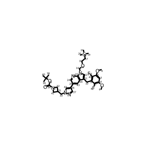 COc1cc(OC)c(F)c(Cc2cn(COCC[Si](C)(C)C)c3ncc(-c4cnn(CC5CN(C(=O)OC(C)(C)C)C5)c4)cc23)c1F